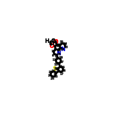 COc1c(OC)c2ccc(-c3ccc(-c4cccc5c4sc4ccccc45)cc3)nc2c2ncccc12